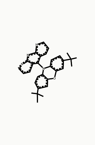 CC(C)(C)c1ccc2c(c1)Oc1cc(C(C)(C)C)ccc1N2c1c2cccnc2nc2ncccc12